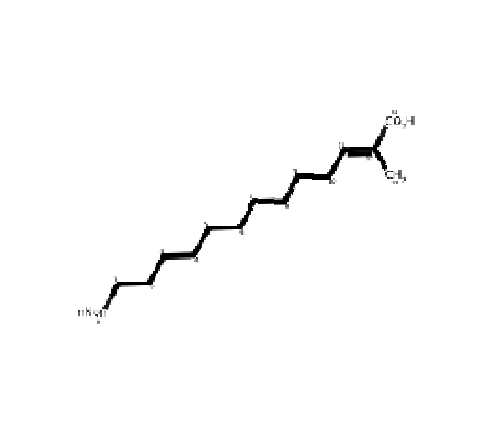 CCCCCCCCCCCCCCCCCCC/C=C(\C)C(=O)O